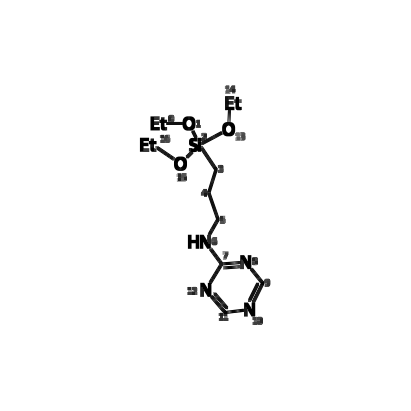 CCO[Si](CCCNc1ncncn1)(OCC)OCC